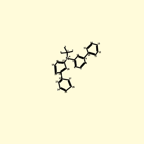 CC(C)(C)N(c1cccc(-c2ccccc2)c1)c1cccc(-c2ccccc2)c1